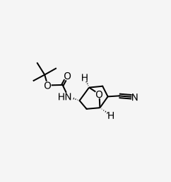 CC(C)(C)OC(=O)N[C@H]1C[C@H]2O[C@@H]1CC2C#N